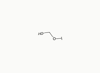 OCOI